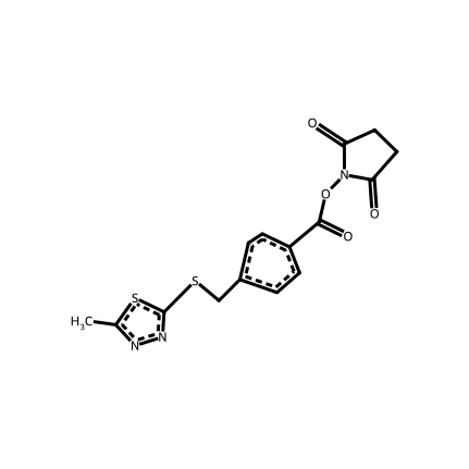 Cc1nnc(SCc2ccc(C(=O)ON3C(=O)CCC3=O)cc2)s1